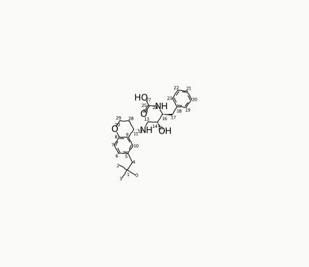 CC(C)(C)Cc1ccc2c(c1)[C@@H](NC[C@H](O)[C@H](Cc1ccccc1)NC(=O)O)CCO2